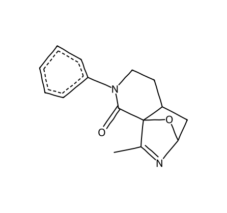 CC1=NC2CC3CCN(c4ccccc4)C(=O)C13O2